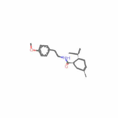 COc1ccc(CCNC(=O)[C@@H]2C[C@H](C)CC[C@H]2C(C)C)cc1